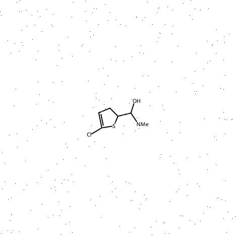 CNC(O)C1CC=C(Cl)S1